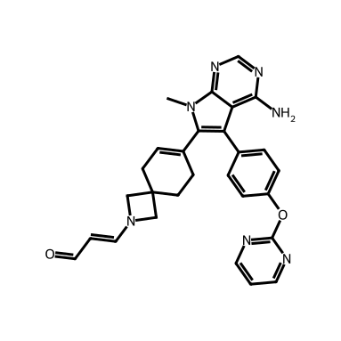 Cn1c(C2=CCC3(CC2)CN(C=CC=O)C3)c(-c2ccc(Oc3ncccn3)cc2)c2c(N)ncnc21